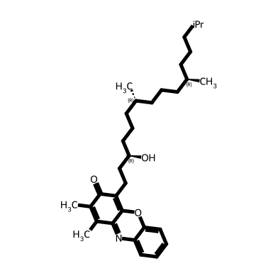 Cc1c2nc3ccccc3oc-2c(CC[C@H](O)CCC[C@H](C)CCC[C@H](C)CCCC(C)C)c(=O)c1C